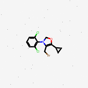 Clc1cccc(Cl)c1N1COC(C2CC2)=C1CBr